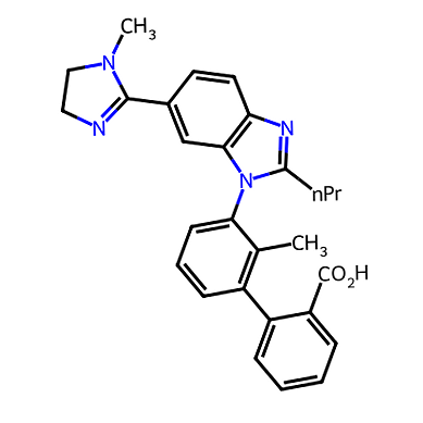 CCCc1nc2ccc(C3=NCCN3C)cc2n1-c1cccc(-c2ccccc2C(=O)O)c1C